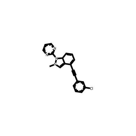 CN1C=C2C(C#Cc3cccc(Cl)c3)=CC=CC2N1c1ncccn1